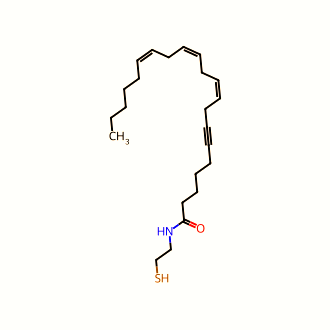 CCCCC/C=C\C/C=C\C/C=C\CC#CCCCCC(=O)NCCS